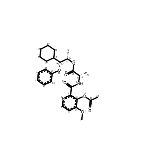 COc1ccnc(C(=O)N[C@@H](C)C(=O)O[C@@H](C)[C@H](Oc2ccccc2)C2CCCCC2)c1OC(C)=O